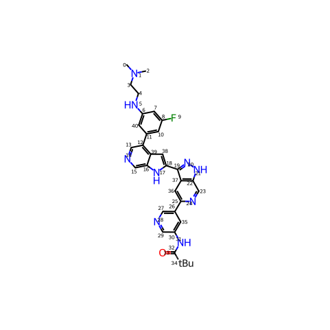 CN(C)CCNc1cc(F)cc(-c2cncc3[nH]c(-c4n[nH]c5cnc(-c6cncc(NC(=O)C(C)(C)C)c6)cc45)cc23)c1